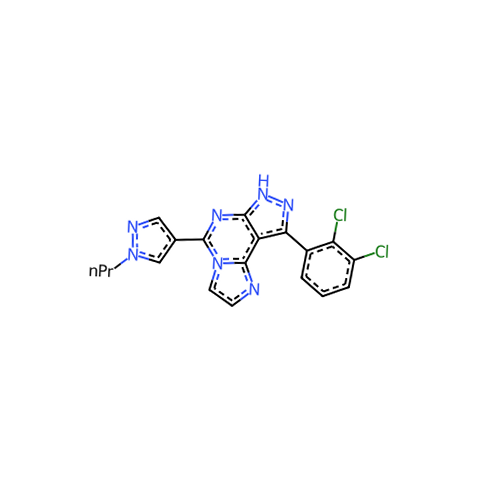 CCCn1cc(-c2nc3[nH]nc(-c4cccc(Cl)c4Cl)c3c3nccn23)cn1